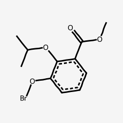 COC(=O)c1cccc(OBr)c1OC(C)C